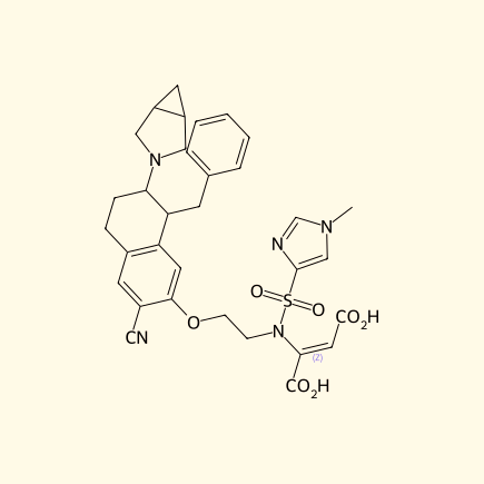 Cn1cnc(S(=O)(=O)N(CCOc2cc3c(cc2C#N)CCC(N2CC4CC4C2)C3Cc2ccccc2)/C(=C\C(=O)O)C(=O)O)c1